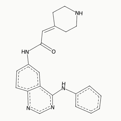 O=C(C=C1CCNCC1)Nc1ccc2ncnc(Nc3ccccc3)c2c1